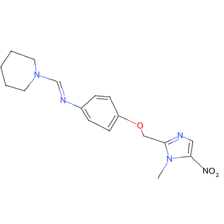 Cn1c([N+](=O)[O-])cnc1COc1ccc(N=CN2CCCCC2)cc1